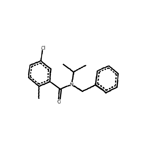 Cc1ccc(Cl)cc1C(=O)N(Cc1ccccc1)C(C)C